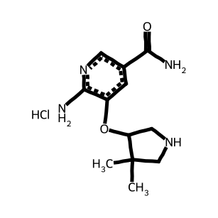 CC1(C)CNCC1Oc1cc(C(N)=O)cnc1N.Cl